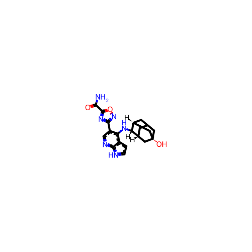 NC(=O)c1nc(-c2cnc3[nH]ccc3c2N[C@H]2[C@@H]3CC4C[C@H]2C[C@@](O)(C4)C3)no1